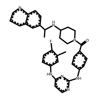 Cc1cc(Nc2ccnc(Nc3ccc(C(=O)N4CCC(NC(C)c5ccc6ncccc6c5)CC4)cc3)n2)ccc1F